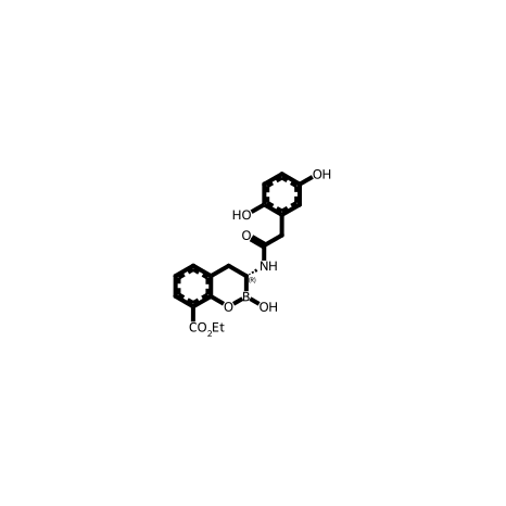 CCOC(=O)c1cccc2c1OB(O)[C@@H](NC(=O)Cc1cc(O)ccc1O)C2